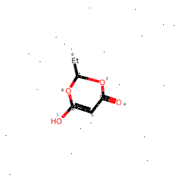 CCC1OC(=O)C=C(O)O1